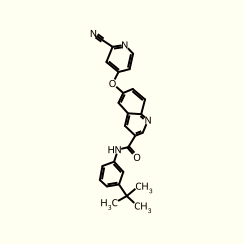 CC(C)(C)c1cccc(NC(=O)c2cnc3ccc(Oc4ccnc(C#N)c4)cc3c2)c1